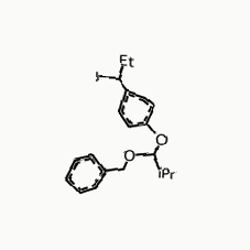 CCC(I)c1ccc(OC(OCc2ccccc2)C(C)C)cc1